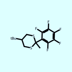 CC1(c2c(F)c(F)c(F)c(F)c2F)SCC(C(C)(C)C)CS1